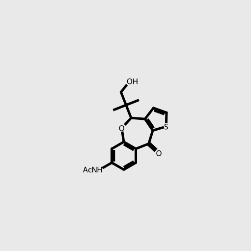 CC(=O)Nc1ccc2c(c1)OC(C(C)(C)CO)c1ccsc1C2=O